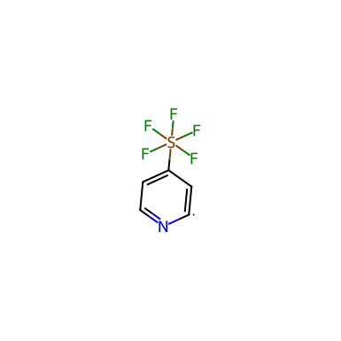 FS(F)(F)(F)(F)c1c[c]ncc1